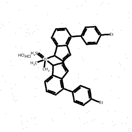 CCC1=Cc2c(-c3ccc(CC)cc3)cccc2[CH]1[Zr]([CH3])([CH3])(=[SiH2])[CH]1C(CC)=Cc2c(-c3ccc(CC)cc3)cccc21.Cl.Cl